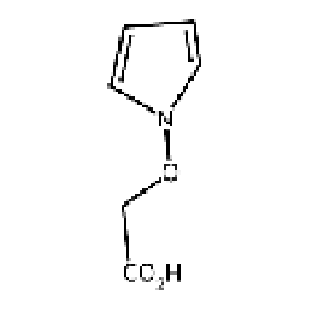 O=C(O)COn1cccc1